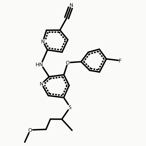 COCCC(C)Sc1cnc(Nc2ccc(C#N)cn2)c(Oc2ccc(F)cc2)c1